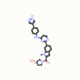 Cn1c(C(=O)N2CC[C@H](O)C2)cc2ccc(-c3nccc(Nc4ccc(-c5cn[nH]c5)cc4)n3)cc21